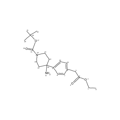 CCOC(=O)Cc1ccc(C2(N)CCN(C(=O)OC(C)(C)C)CC2)cc1